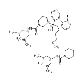 CNC[C@H](CC(C)C)NC(=O)N1CCCCC1.CNC[C@H](CC(C)C)NC(=O)N1CCC[C@@H]([C@@](O)(CCCCOC)c2ccccc2-c2ccccc2F)C1